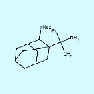 CCCCCCC1C2CC3CC(C2)CC1(C(C)(N)CCC)C3